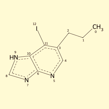 CCCc1cnc2nc[nH]c2c1I